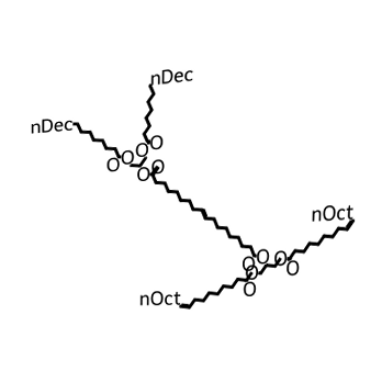 CCCCCCCC/C=C\CCCCCCCC(=O)OCC(COC(=O)CCCCCCC/C=C\CCCCCCCC)OC(=O)CCCCCCC/C=C/CCCCCCCC(=O)OC(COC(=O)CCCCCCCCCCCCCCCCC)COC(=O)CCCCCCCCCCCCCCCCC